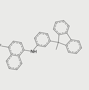 CC1(c2cccc(Nc3ccc(F)c4ccccc34)c2)c2ccccc2-c2ccccc21